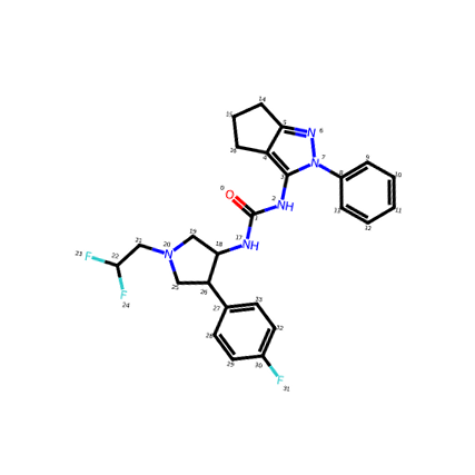 O=C(Nc1c2c(nn1-c1ccccc1)CCC2)NC1CN(CC(F)F)CC1c1ccc(F)cc1